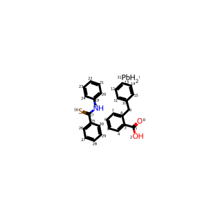 O=C(O)c1ccccc1Cc1ccccc1.S=C(Nc1ccccc1)c1ccccc1.[PbH2]